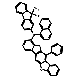 CC1(C)c2ccccc2-c2ccc(N(c3cccc4ccccc34)c3cccc4c3oc3c(-c5ccccc5)c5c(cc34)oc3ccccc35)cc21